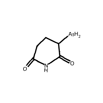 O=C1CCC([AsH2])C(=O)N1